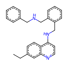 CCc1ccc2c(NCc3ccccc3CNCc3ccccc3)ccnc2c1